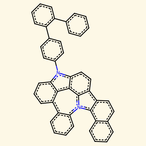 c1ccc(-c2ccccc2-c2ccc(-n3c4cccc5c6ccccc6n6c7c8ccccc8ccc7c7ccc3c(c54)c76)cc2)cc1